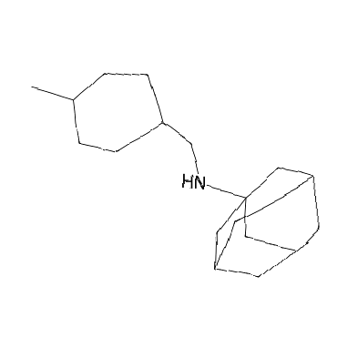 CC1CCC(CNC23CC4CC(CC(C4)C2)C3)CC1